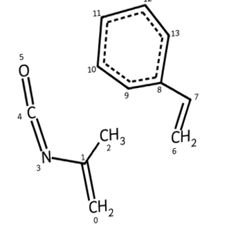 C=C(C)N=C=O.C=Cc1ccccc1